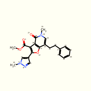 COC(=O)c1c(-c2cnn(C)c2)oc2c(CCc3ccccc3)cn(C)c(=O)c12